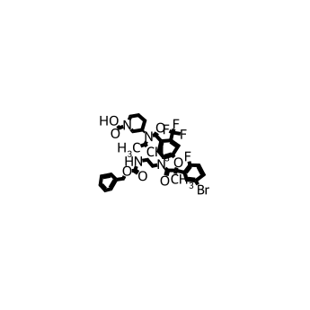 CC(C)N(C(=O)c1cc2c(cc1C(F)(F)F)OC(C)(c1cc(Br)ccc1F)C(=O)N2CCNC(=O)OCc1ccccc1)[C@@H]1CCCN(C(=O)O)C1